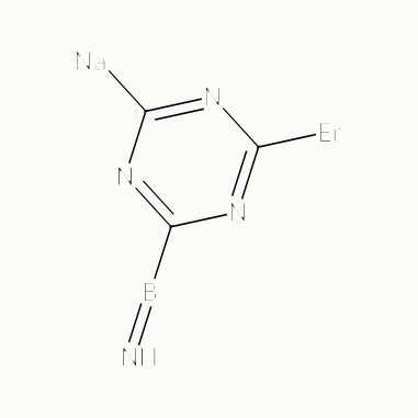 N=Bc1n[c]([Na])n[c]([Er])n1